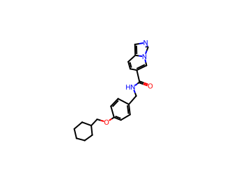 O=C(NCc1ccc(OCC2CCCCC2)cc1)c1ccc2cncn2c1